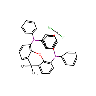 CC1(C)c2cccc(P(c3ccccc3)c3ccccc3)c2Oc2c(P(c3ccccc3)c3ccccc3)cccc21.[Br][Ni][Br]